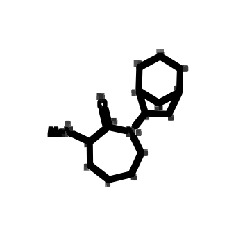 CNC1CCCCN(C2CC3CCCC2C3)C1=O